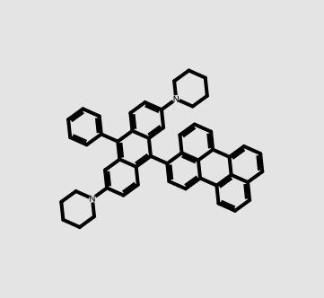 c1ccc(-c2c3cc(N4CCCCC4)ccc3c(-c3ccc4c5cccc6cccc(c7cccc3c74)c65)c3cc(N4CCCCC4)ccc23)cc1